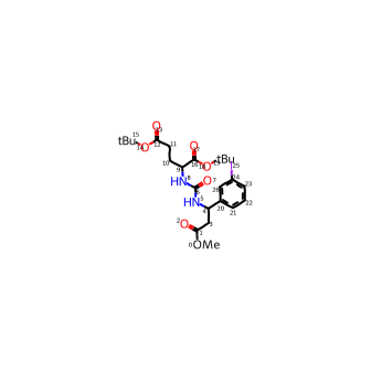 COC(=O)CC(NC(=O)NC(CCC(=O)OC(C)(C)C)C(=O)OC(C)(C)C)c1cccc(I)c1